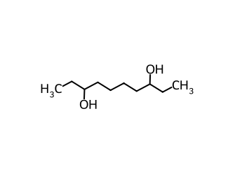 CCC(O)CCCCC(O)CC